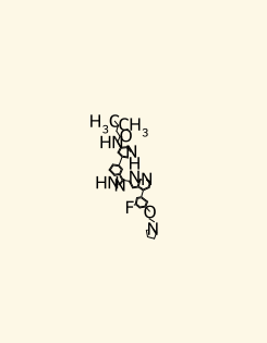 CC(C)CC(=O)Nc1cncc(-c2ccc3[nH]nc(-c4cc5c(-c6cc(F)cc(OCCN7CCCC7)c6)ccnc5[nH]4)c3c2)c1